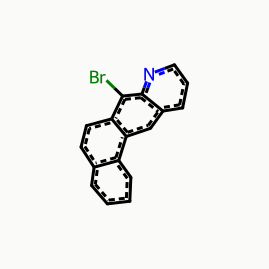 Brc1c2ccc3ccccc3c2cc2cccnc12